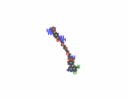 CCCNC(=O)Nc1ccc(NC(=O)NCCOCCOCCOCCNS(=O)(=O)c2ccc(C3CN(C)Cc4c(Cl)cc(Cl)cc43)cc2)cc1